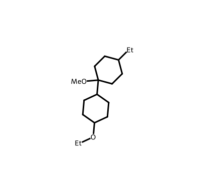 CCOC1CCC(C2(OC)CCC(CC)CC2)CC1